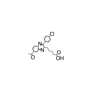 CC(=O)c1ccc2nc(-c3ccc(Cl)cc3)c(CCCCC(=O)O)nc2c1